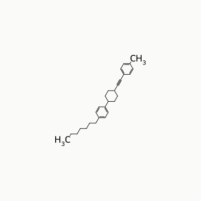 CCCCCCCc1ccc(C2CCC(C#Cc3ccc(C)cc3)CC2)cc1